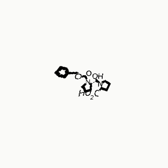 O=C(O)[C@@H]1CCCN1C(O)[C@@H]1CCCN1C(=O)OCc1ccccc1